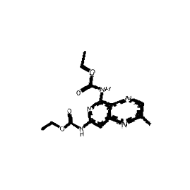 CCOC(=O)Nc1cc2nc(C)cnc2c(NC(=O)OCC)n1